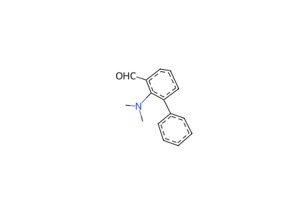 CN(C)c1c(C=O)cccc1-c1ccccc1